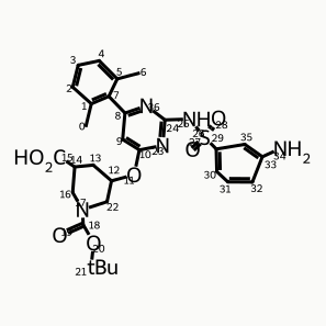 Cc1cccc(C)c1-c1cc(OC2CC(C(=O)O)CN(C(=O)OC(C)(C)C)C2)nc(NS(=O)(=O)c2cccc(N)c2)n1